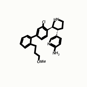 COCCCc1ccccc1-c1ccc([C@H]2CNCC[C@@H]2c2ccc(N)nc2)c(Cl)c1